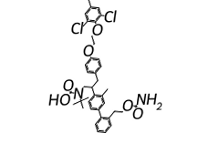 Cc1cc(Cl)c(OCCOc2ccc(CC(CN(C(=O)O)C(C)(C)C)c3ccc(-c4ccccc4CCOC(N)=O)cc3C)cc2)c(Cl)c1